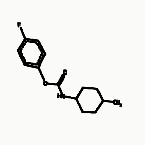 CC1CCC(NC(=O)Oc2ccc(F)cc2)CC1